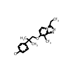 CC(C)(COc1ccn2c(CC(F)(F)F)nnc2c1C(F)(F)F)c1ccc(Cl)cc1